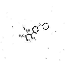 CN(N)/C(NC=O)=C(\N)c1ccc(OC2CCCCC2)cn1